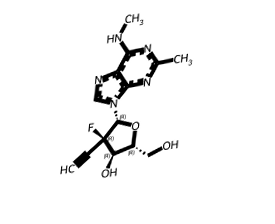 C#C[C@@]1(F)[C@H](O)[C@@H](CO)O[C@H]1n1cnc2c(NC)nc(C)nc21